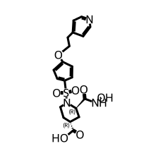 O=C(O)[C@@H]1CCN(S(=O)(=O)c2ccc(OCCc3ccncc3)cc2)[C@@H](C(=O)NO)C1